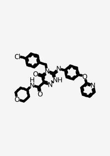 O=C(NC1CCOCC1)c1n[nH]/c(=N\c2ccc(Oc3ccccn3)cc2)n(Cc2ccc(Cl)cc2)c1=O